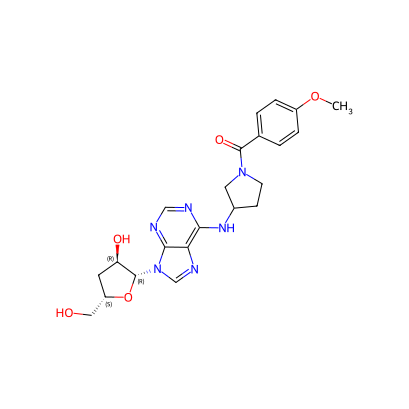 COc1ccc(C(=O)N2CCC(Nc3ncnc4c3ncn4[C@@H]3O[C@H](CO)C[C@H]3O)C2)cc1